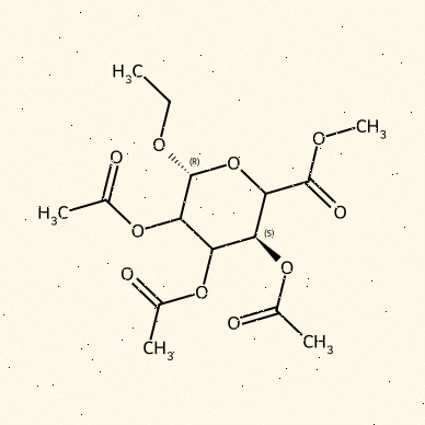 CCO[C@@H]1OC(C(=O)OC)[C@@H](OC(C)=O)C(OC(C)=O)C1OC(C)=O